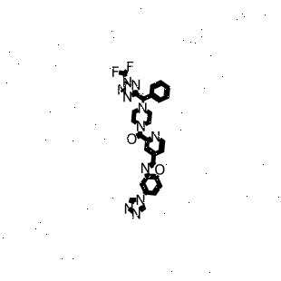 O=C(c1cc(-c2nc3cc(-n4cnnc4)ccc3o2)ccn1)N1CCN([C@H](c2ccccc2)c2nnn(C(F)F)n2)CC1